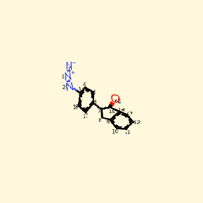 [N-]=[N+]=Nc1ccc(C2Cc3ccccc3C2=O)cc1